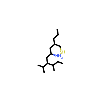 CCCC(CS)CC(N)CC(C(C)C)C(C)CC